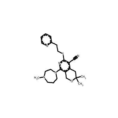 CN1CCCN(c2nc(SCCc3ccccn3)c(C#N)c3c2COC(C)(C)C3)CC1